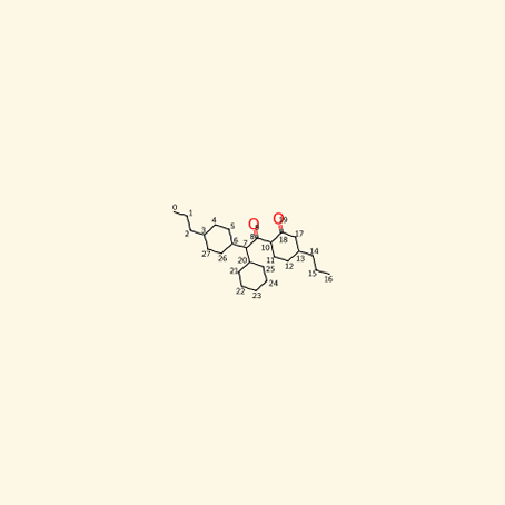 CCCC1CCC(C(C(=O)C2CCC(CCC)CC2=O)C2CCCCC2)CC1